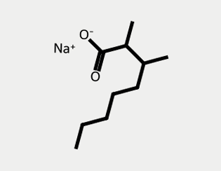 CCCCCC(C)C(C)C(=O)[O-].[Na+]